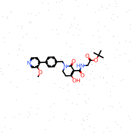 COc1cnccc1-c1ccc(CN2CCC(O)=C(C(=O)NCC(=O)OC(C)(C)C)C2=O)cc1